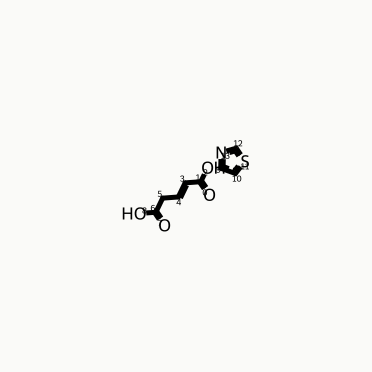 O=C(O)C=CCC(=O)O.c1cscn1